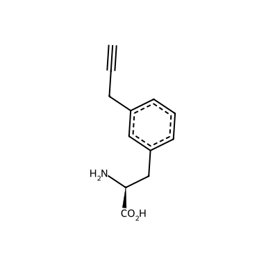 C#CCc1cccc(C[C@H](N)C(=O)O)c1